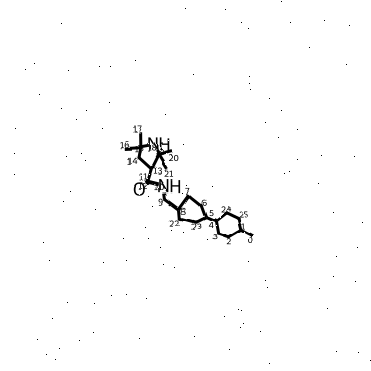 CC1CCC(C2CCC(CNC(=O)C3CC(C)(C)NC3(C)C)CC2)CC1